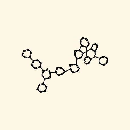 c1ccc(-c2ccc(-c3nc(-c4ccccc4)cc(-c4ccc(-c5cccc(-c6ccc7c(c6)C6(c8ccccc8-7)c7ccccc7N(c7ccccc7)c7ccccc76)c5)cc4)n3)cc2)cc1